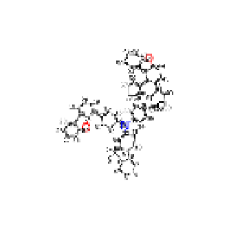 CC1(C)c2ccccc2-c2ccc(N(c3ccc(-c4cccc5c4oc4ccccc45)cc3)c3ccc(-c4cccc5c6ccc7oc8ccccc8c7c6c6ccccc6c45)cc3)cc21